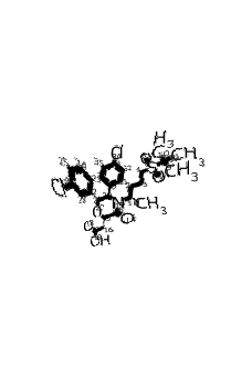 C[C@@H](CCCS(=O)(=O)C(C)(C)C)N1C(=O)[C@H](CC(=O)O)O[C@H](c2cccc(Cl)c2)[C@H]1c1ccc(Cl)cc1